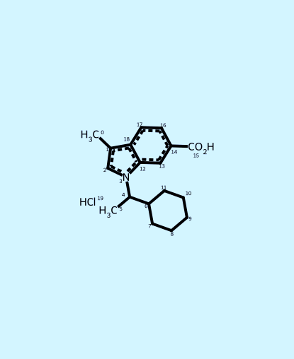 Cc1cn(C(C)C2CCCCC2)c2cc(C(=O)O)ccc12.Cl